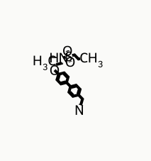 CCCS(=O)(=O)NCC(C)Oc1ccc(-c2ccc(CC#N)cc2)cc1